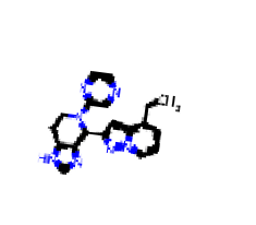 CCc1cccn2nc([C@H]3c4nc[nH]c4CCN3c3cnccn3)cc12